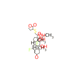 CCCC(O)(O)[C@]1(C(=O)CSC2CCOC2=O)CC[C@H]2[C@@H]3CC(F)C4=CC(=O)CC[C@]4(C)[C@@]3(F)C(O)C[C@@]21C